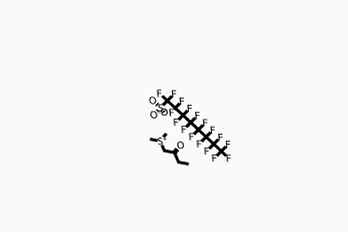 CCC(=O)C[S+](C)C.O=S(=O)([O-])C(F)(F)C(F)(F)C(F)(F)C(F)(F)C(F)(F)C(F)(F)C(F)(F)C(F)(F)F